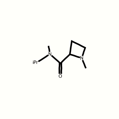 CC(C)N(C)C(=O)C1CCN1C